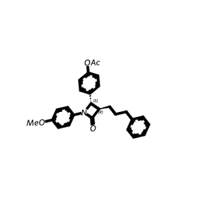 COc1ccc(N2C(=O)[C@H](CCCc3ccccc3)[C@H]2c2ccc(OC(C)=O)cc2)cc1